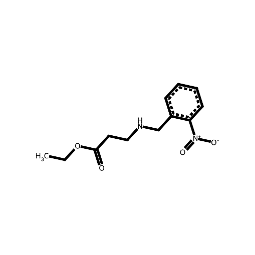 CCOC(=O)CCNCc1ccccc1[N+](=O)[O-]